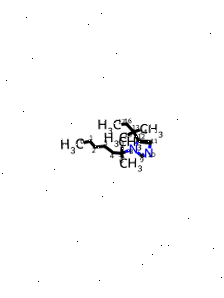 CCCCCC(C)(C)n1cncc1C(C)(C)CC